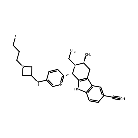 C#Cc1ccc2[nH]c3c(c2c1)C[C@H](C)N(CC(F)(F)F)[C@H]3c1ccc(NC2CN(CCCF)C2)cn1